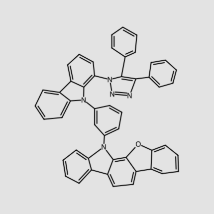 c1ccc(-c2nnn(-c3cccc4c5ccccc5n(-c5cccc(-n6c7ccccc7c7ccc8c9ccccc9oc8c76)c5)c34)c2-c2ccccc2)cc1